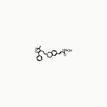 Cc1noc(-c2ccccc2)c1CCN1CCc2cc(/C=C/C(=O)NO)ccc2C1